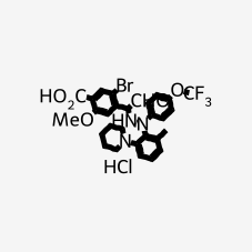 COc1cc(C(C=O)NN(c2ccc(OC(F)(F)F)cc2)c2c(C)cccc2N2CCCCC2)c(Br)cc1C(=O)O.Cl